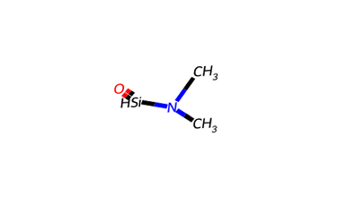 CN(C)[SiH]=O